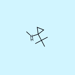 CNC1(C(C)(C)C)CC1